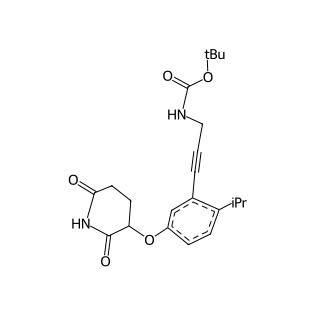 CC(C)c1ccc(OC2CCC(=O)NC2=O)cc1C#CCNC(=O)OC(C)(C)C